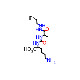 CC(C)CCNNC(=O)C(C)NC(=O)NC(CCCCN)C(=O)O